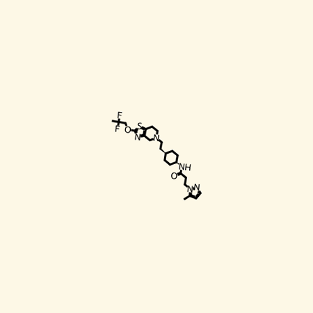 Cc1ccnn1CCC(=O)N[C@H]1CC[C@H](CCN2CCc3sc(OCC(C)(F)F)nc3C2)CC1